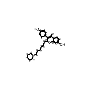 CC1=C(c2ccc(O)cc2)C(CCCCCCN2CCCCC2)Oc2cc(O)ccc21